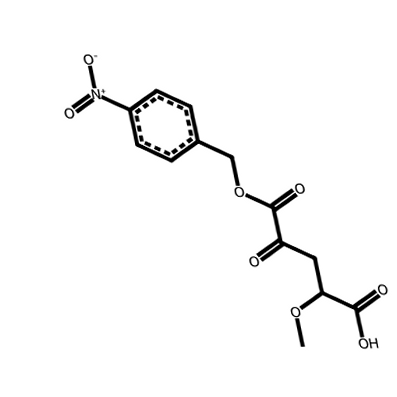 COC(CC(=O)C(=O)OCc1ccc([N+](=O)[O-])cc1)C(=O)O